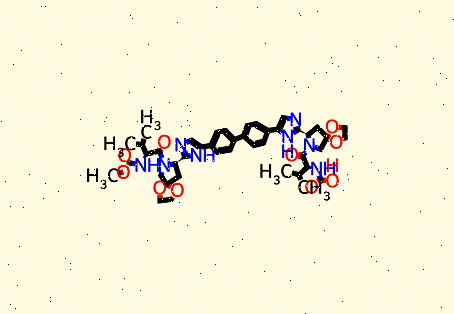 COC(=O)N[C@H](C(=O)N1CC2(C[C@H]1c1ncc(-c3ccc(-c4ccc(-c5cnc([C@@H]6CC7(CN6C(=O)[C@@H](NC(=O)O)C(C)C)OCCO7)[nH]5)cc4)cc3)[nH]1)OCCO2)C(C)C